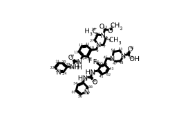 COC(=O)N1[C@H](C)CN(Cc2cccc(NC(=O)Nc3cccnc3)c2F)C[C@@H]1C.O=C(Nc1cccnc1)Nc1cccc(CN2CCN(C(=O)O)CC2)c1F